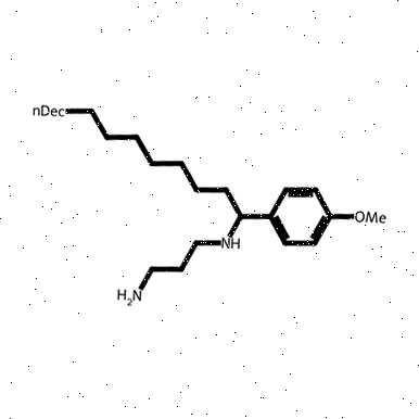 CCCCCCCCCCCCCCCCCC(NCCCN)c1ccc(OC)cc1